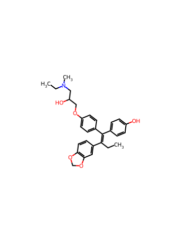 CCC(=C(c1ccc(O)cc1)c1ccc(OCC(O)CN(C)CC)cc1)c1ccc2c(c1)OCO2